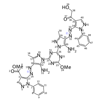 COC(=O)c1cnn(-c2ccccc2)c1/N=N/c1c(C)nn(-c2nc(OC)nc(-n3nc(C)c(/N=N/c4c(C(=O)CO)cnn4-c4ccccc4)c3N)n2)c1N